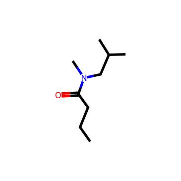 CCCC(=O)N(C)CC(C)C